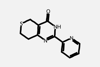 O=c1[nH]c(-c2ccccn2)nc2c1CSCC2